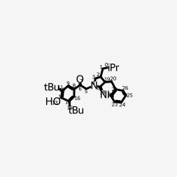 CC(C)CC1CN(CC(=O)c2cc(C(C)(C)C)c(O)c(C(C)(C)C)c2)C(=N)C1Cc1ccccc1